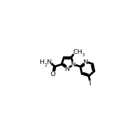 Cc1cc(C(N)=O)nn1-c1cc(I)ccn1